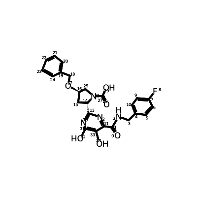 O=C(NCc1ccc(F)cc1)c1nc([C@@H]2C[C@@H](OCc3ccccc3)CN2C(=O)O)nc(O)c1O